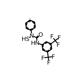 O=C(Nc1cc(C(F)(F)F)cc(C(F)(F)F)c1)N(S)c1cc[c]cc1